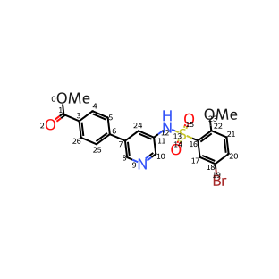 COC(=O)c1ccc(-c2cncc(NS(=O)(=O)c3cc(Br)ccc3OC)c2)cc1